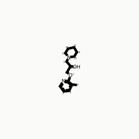 Cc1cccnc1OCC(O)CN1CCCCC1